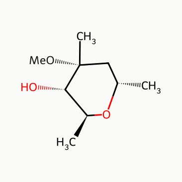 CO[C@]1(C)C[C@H](C)O[C@@H](C)[C@@H]1O